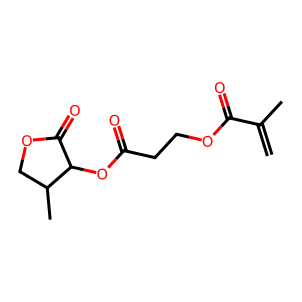 C=C(C)C(=O)OCCC(=O)OC1C(=O)OCC1C